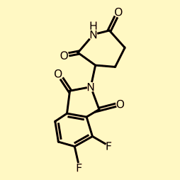 O=C1CCC(N2C(=O)c3ccc(F)c(F)c3C2=O)C(=O)N1